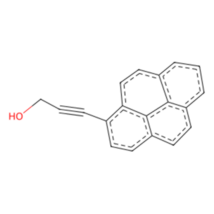 OCC#Cc1ccc2ccc3cccc4ccc1c2c34